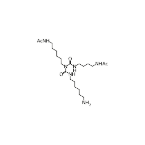 CC(=O)NCCCCCCN(C(=O)NCCCCCCN)C(=O)NCCCCNC(C)=O